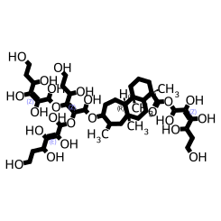 CC1C[C@@]2(C)CCC3[C@](C)(C(=O)OC(O)/C(O)=C(/O)C(O)CCO)CCC[C@@]3(C)[C@@H]2CCC1OC(O)/C(OC(O)/C(O)=C(\O)C(O)CCO)=C(/OC(O)/C(O)=C(/O)C(O)CCO)C(O)CCO